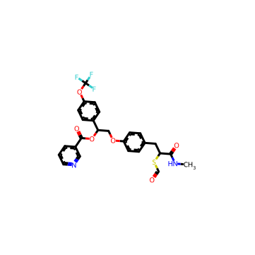 CNC(=O)C(Cc1ccc(OCC(OC(=O)c2cccnc2)c2ccc(OC(F)(F)F)cc2)cc1)SC=O